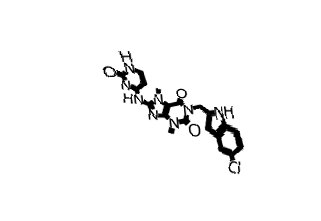 Cn1c(Nc2cc[nH]c(=O)n2)nc2c1c(=O)n(Cc1cc3cc(Cl)ccc3[nH]1)c(=O)n2C